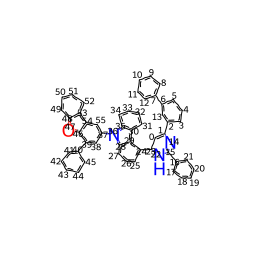 C1=C(c2cccc(-c3ccccc3)c2)N=C(c2ccccc2)NC1c1cccc2c1c1ccccc1n2-c1cc(-c2ccccc2)c2oc3ccccc3c2c1